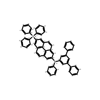 c1ccc(-c2cc(-c3ccccc3)cc(N(c3ccccc3)c3cc4ccc5cc([Si](c6ccccc6)(c6ccccc6)c6ccccc6)cc6ccc(c3)c4c56)c2)cc1